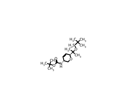 CC(C)(C)OC(=O)N[C@@H]1C=C[C@@H](C(C)(C)O[SiH2]C(C)(C)C)OC1